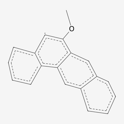 COc1[c]c2ccccc2c2cc3ccccc3cc12